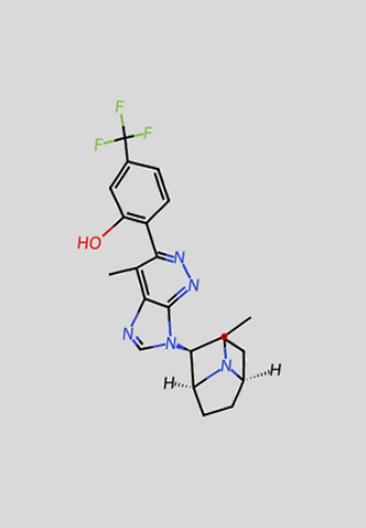 CCN1[C@@H]2CC[C@H]1[C@@H](n1cnc3c(C)c(-c4ccc(C(F)(F)F)cc4O)nnc31)CC2